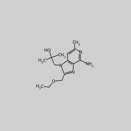 CCOCc1nc2c(N)nc(C)cc2n1CC(C)(C)O